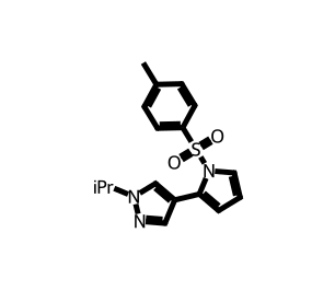 Cc1ccc(S(=O)(=O)n2cccc2-c2cnn(C(C)C)c2)cc1